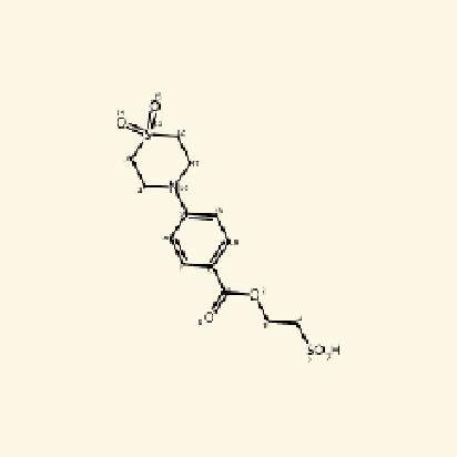 O=C(OCCS(=O)(=O)O)c1ccc(N2CCS(=O)(=O)CC2)cc1